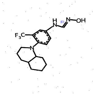 O/N=C/Nc1ccc(N2CCCC3CCCCC32)c(C(F)(F)F)c1